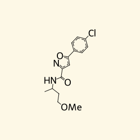 COCCC(C)NC(=O)c1cc(-c2ccc(Cl)cc2)on1